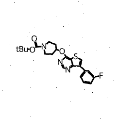 CC(C)(C)OC(=O)N1CCC(Oc2ncnc3c(-c4cccc(F)c4)csc23)CC1